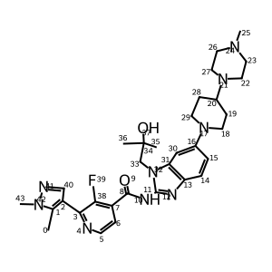 Cc1c(-c2nccc(C(=O)Nc3nc4ccc(N5CCC(N6CCN(C)CC6)CC5)cc4n3CC(C)(C)O)c2F)cnn1C